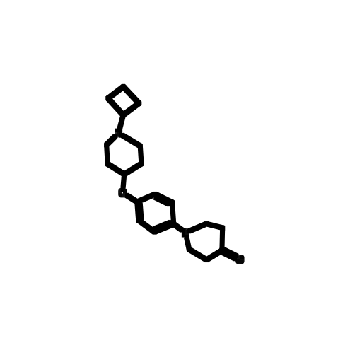 O=C1CCN(c2ccc(OC3CCN(C4CCC4)CC3)cc2)CC1